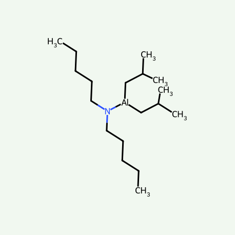 CCCCC[N](CCCCC)[Al]([CH2]C(C)C)[CH2]C(C)C